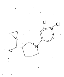 COC(C1CC1)C1CCCN(c2ccc(Cl)c(Cl)c2)C1